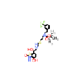 CC(C)(C)OC(=O)N(CCCSCCNC[C@H](O)c1ccc(O)c2[nH]c(=O)sc12)CCc1cccc(C(F)(F)F)c1